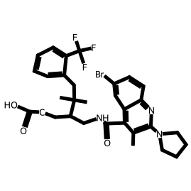 Cc1c(N2CCCC2)nc2ccc(Br)cc2c1C(=O)NCC(CCC(=O)O)C(C)(C)Cc1ccccc1C(F)(F)F